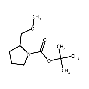 COCC1CCCN1C(=O)OC(C)(C)C